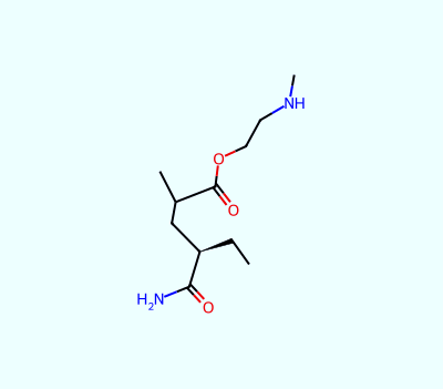 CC[C@H](CC(C)C(=O)OCCNC)C(N)=O